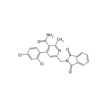 Cc1nc(CN2C(=O)c3ccccc3C2=O)cc(-c2ccc(Cl)cc2Cl)c1C(N)=O